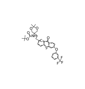 CC(C)(C)OC(=O)NC1(CCc2ccc3sc4cc(Oc5cccc(C(F)(F)F)c5)ccc4c(=O)c3c2)COC(C)(C)OC1